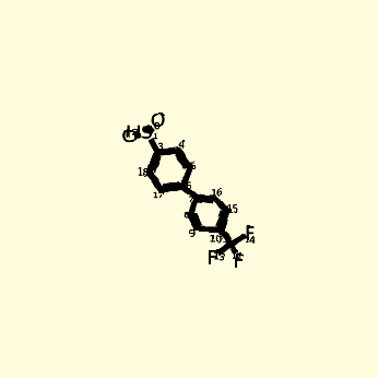 O=[SH](=O)c1ccc(-c2ccc(C(F)(F)F)cc2)cc1